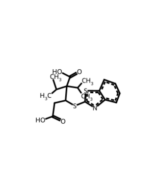 CC(C)C(C(=O)O)(C(C)C)C(CC(=O)O)Sc1nc2ccccc2s1